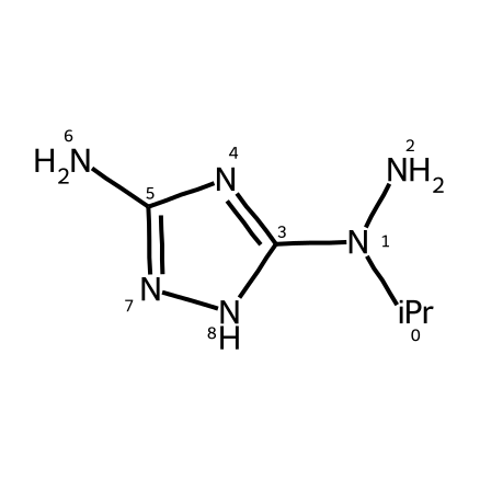 CC(C)N(N)c1nc(N)n[nH]1